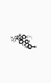 Cc1ccc(S(=O)(=O)NC(C)(C)C)c(-c2ccccc2-c2ccnc(-c3cccc(C#N)c3)c2C(N)=O)c1